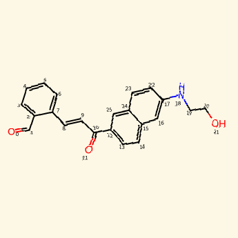 O=Cc1ccccc1/C=C/C(=O)c1ccc2cc(NCCO)ccc2c1